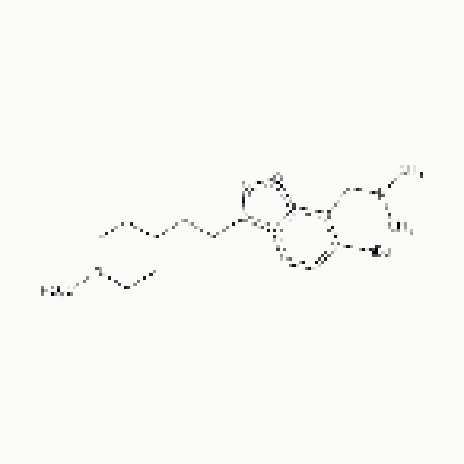 CCCCc1ccc2c(CCC3CCN(C(=O)O)CC3)noc2c1CN(C)C